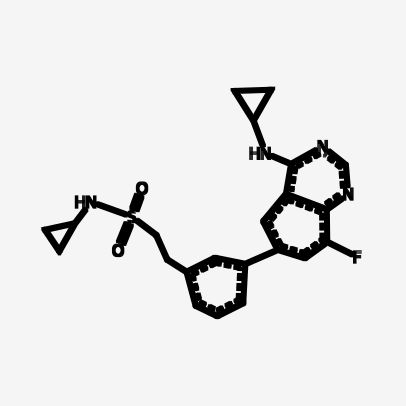 O=S(=O)(CCc1cccc(-c2cc(F)c3ncnc(NC4CC4)c3c2)c1)NC1CC1